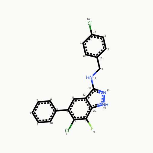 Fc1c(Cl)c(-c2ccccc2)cc2c(NCc3ccc(Cl)cc3)n[nH]c12